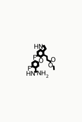 CCOC(=O)CCc1c(Oc2ccc(F)c(C(=N)N)c2)c(F)cc2[nH]ccc12